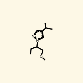 CCC(COC)n1cc(C(C)C)cn1